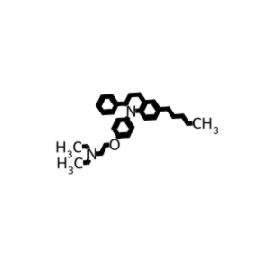 CCCCCc1ccc2c(c1)CCC(c1ccccc1)N2c1ccc(OCCN(CC)CC)cc1